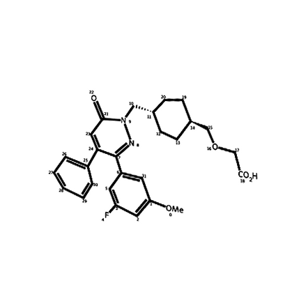 COc1cc(F)cc(-c2nn(C[C@H]3CC[C@H](COCC(=O)O)CC3)c(=O)cc2-c2ccccc2)c1